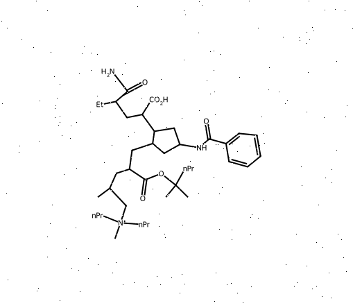 CCCC(C)(C)OC(=O)C(CC(C)C[N+](C)(CCC)CCC)CC1CC(NC(=O)c2ccccc2)CC1C(CC(CC)C(N)=O)C(=O)O